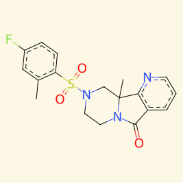 Cc1cc(F)ccc1S(=O)(=O)N1CCN2C(=O)c3cccnc3C2(C)C1